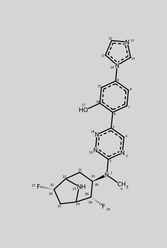 CN(c1ncc(-c2ccc(-n3ccnc3)cc2O)nn1)[C@@H]1CC2NC(C[C@@H]2F)[C@H]1F